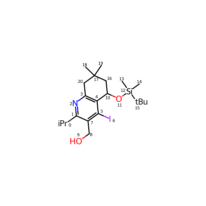 CC(C)c1nc2c(c(I)c1CO)C(O[Si](C)(C)C(C)(C)C)CC(C)(C)C2